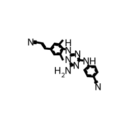 Cc1cc(/C=C/C#N)cc(C)c1Nc1nc(N)nc(Nc2ccc(C#N)cc2)n1